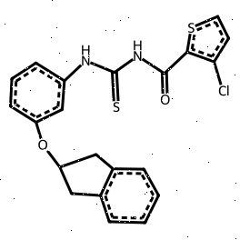 O=C(NC(=S)Nc1cccc(OC2Cc3ccccc3C2)c1)c1sccc1Cl